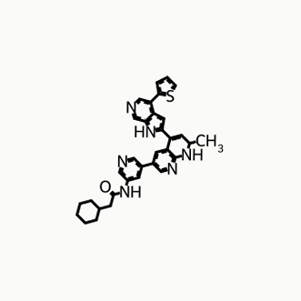 CC1C=C(c2cc3c(-c4cccs4)cncc3[nH]2)c2cc(-c3cncc(NC(=O)CC4CCCCC4)c3)cnc2N1